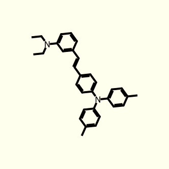 CCN(CC)c1cccc(C=Cc2ccc(N(c3ccc(C)cc3)c3ccc(C)cc3)cc2)c1